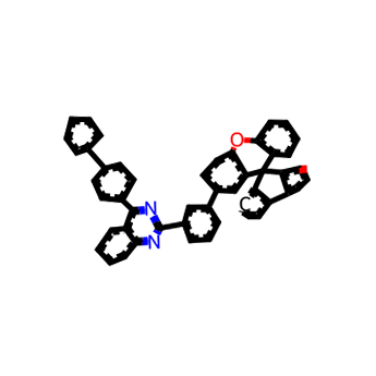 c1ccc(-c2ccc(-c3nc(-c4cccc(-c5ccc6c(c5)C5(c7ccccc7O6)c6ccccc6-c6ccccc65)c4)nc4ccccc34)cc2)cc1